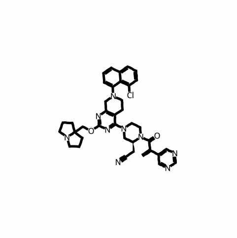 C=C(C(=O)N1CCN(c2nc(OCC34CCCN3CCC4)nc3c2CCN(c2cccc4cccc(Cl)c24)C3)C[C@@H]1CC#N)c1cncnc1